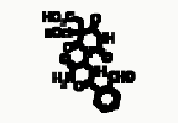 CCCCCCCCC1(CC(=O)O)C(=O)NC(=O)N(C(NC(=O)c2ccccc2C=O)C(N)=O)C1=O